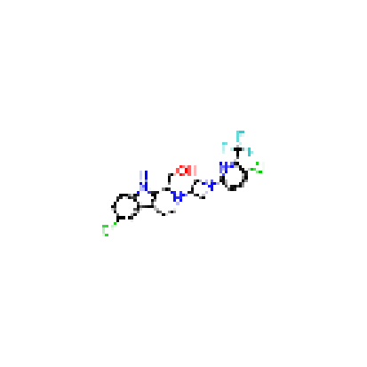 OCC1c2[nH]c3ccc(Cl)cc3c2CCN1C1CN(c2ccc(Cl)c(C(F)(F)F)n2)C1